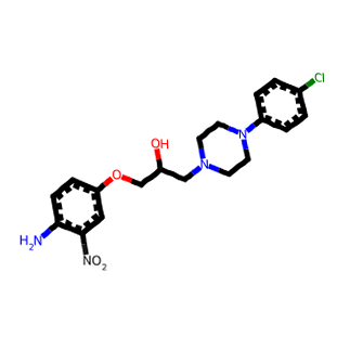 Nc1ccc(OCC(O)CN2CCN(c3ccc(Cl)cc3)CC2)cc1[N+](=O)[O-]